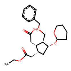 CCOC(=O)C[C@H]1C[C@@H](OC2CCCCO2)[C@H](COCc2ccccc2)[C@H]1CC(=O)O